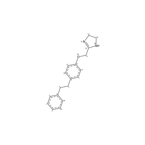 c1ccc(CCc2ccc(OCC3=NCCN3)cc2)cc1